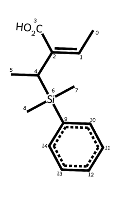 CC=C(C(=O)O)C(C)[Si](C)(C)c1ccccc1